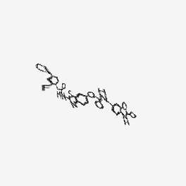 O=C(Cc1ccc(Cl)cc1F)Nc1nc2ccc(OC(=O)Nc3ccc4[nH]c(=O)oc4c3)cc2s1